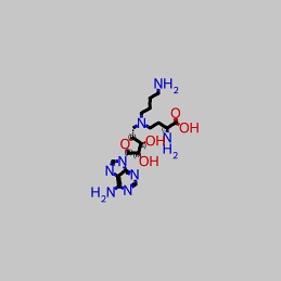 NCCCCN(CC[C@H](N)C(=O)O)C[C@H]1O[C@@H](n2cnc3c(N)ncnc32)[C@H](O)[C@@H]1O